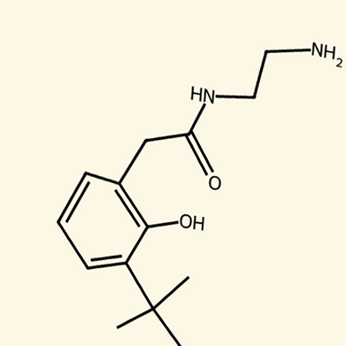 CC(C)(C)c1cccc(CC(=O)NCCN)c1O